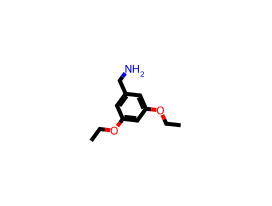 CCOc1cc(CN)cc(OCC)c1